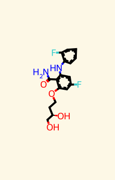 NC(=O)c1c(Nc2ccccc2F)cc(F)cc1OCC[C@@H](O)CO